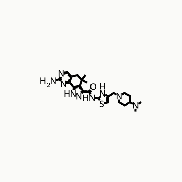 CN(C)C1CCN(CC2=CSC(NC(=O)c3n[nH]c4c3C(C)(C)Cc3cnc(N)nc3-4)N2)CC1